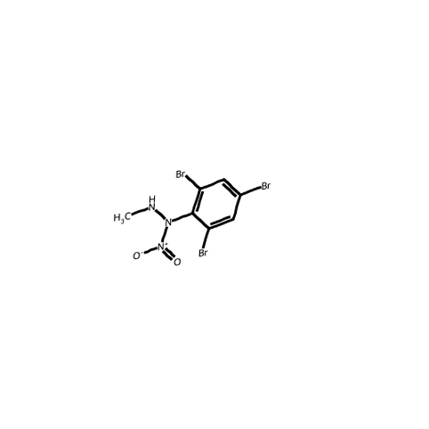 CNN(c1c(Br)cc(Br)cc1Br)[N+](=O)[O-]